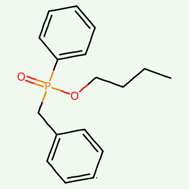 CCCCOP(=O)(Cc1cc[c]cc1)c1ccccc1